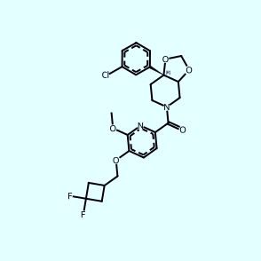 COc1nc(C(=O)N2CC[C@]3(c4cccc(Cl)c4)OCOC3C2)ccc1OCC1CC(F)(F)C1